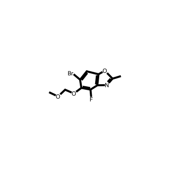 COCOc1c(Br)cc2oc(C)nc2c1F